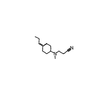 CCC=C1CCC(N(C)CCC#N)CC1